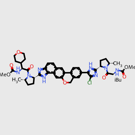 CC[C@H](C)[C@H](NC(=O)OC)C(=O)N1[C@@H](C)CC[C@H]1c1nc(Cl)c(-c2ccc3c(c2)COc2cc4c(ccc5nc([C@@H]6CC[C@H](C)N6C(=O)[C@@H](NC(=O)OC)C6CCOCC6)[nH]c54)cc2-3)[nH]1